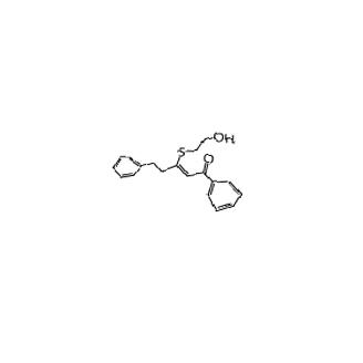 O=C(C=C(CCc1ccccc1)SCCO)c1ccccc1